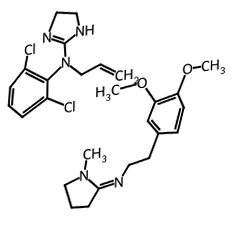 C=CCN(C1=NCCN1)c1c(Cl)cccc1Cl.COc1ccc(CC/N=C2/CCCN2C)cc1OC